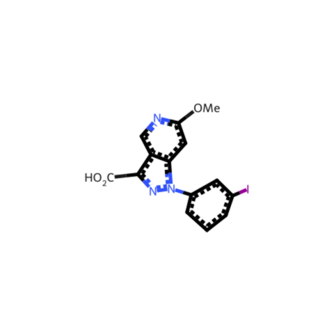 COc1cc2c(cn1)c(C(=O)O)nn2-c1cccc(I)c1